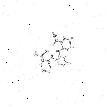 Cc1ccc(Nc2ccccc2C(=O)O)c(Nc2ccccc2C(=O)O)c1